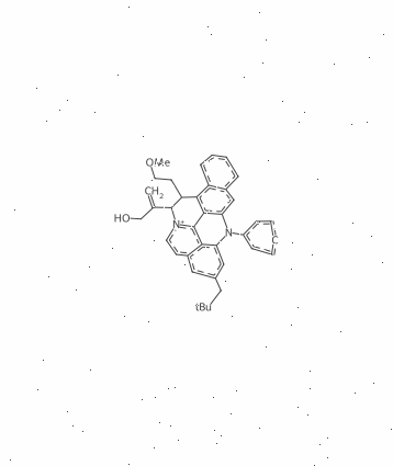 C=C(CO)C1C(CCOC)c2c3c(cc4ccccc24)N(c2ccccc2)c2cc(CC(C)(C)C)cc4cc[n+]1c-3c24